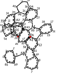 c1ccc(-n2c3ccccc3c3cc(-c4ccccc4N(c4ccccc4-c4cccc5cccc(C6CCCCC6)c45)c4cccc5c4sc4ccccc45)ccc32)cc1